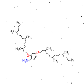 CC(C)CCC[C@@H](C)CCC[C@@H](C)CCCC(C)CCOc1ccc(CN)c(OCCC(C)CCC[C@H](C)CCC[C@H](C)CCCC(C)C)c1